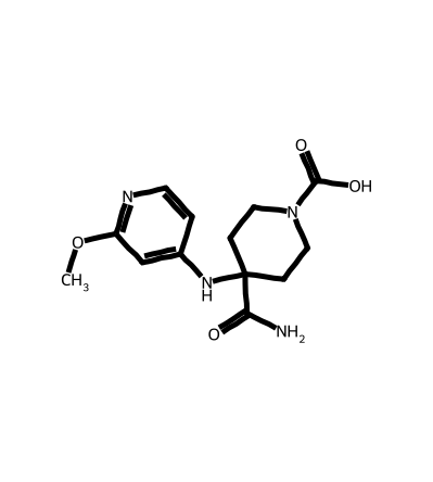 COc1cc(NC2(C(N)=O)CCN(C(=O)O)CC2)ccn1